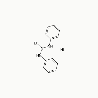 CCN(Nc1ccccc1)Nc1ccccc1.I